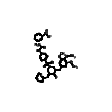 COc1cc(C=C2CN(S(=O)(=O)c3ccc(NC(C)=O)cc3)CC(=Cc3ccccc3)C2=O)cc(OC)c1OC.O=[N+]([O-])c1ccccc1